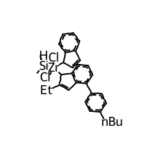 CCCCc1ccc(-c2cccc3c2C=C(CC)[CH]3[Zr]([Cl])([Cl])([CH]2C=Cc3ccccc32)[SiH](C)C)cc1